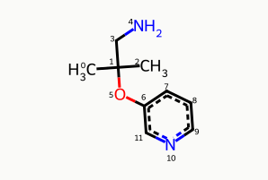 CC(C)(CN)Oc1cccnc1